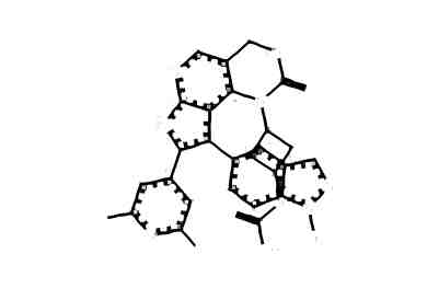 COC(=O)NC1CC(N2C(=O)NCc3cnc4[nH]c(-c5cc(C)nc(C)c5)c(-c5ccc6c(cnn6C(C)C)c5)c4c32)C1